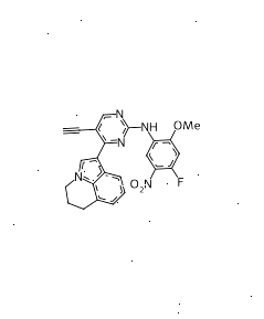 C#Cc1cnc(Nc2cc([N+](=O)[O-])c(F)cc2OC)nc1-c1cn2c3c(cccc13)CCC2